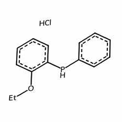 CCOc1ccccc1Pc1ccccc1.Cl